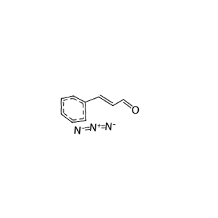 O=C/C=C/c1ccccc1.[N-]=[N+]=[N-]